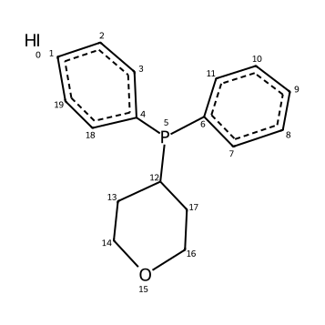 I.c1ccc(P(c2ccccc2)C2CCOCC2)cc1